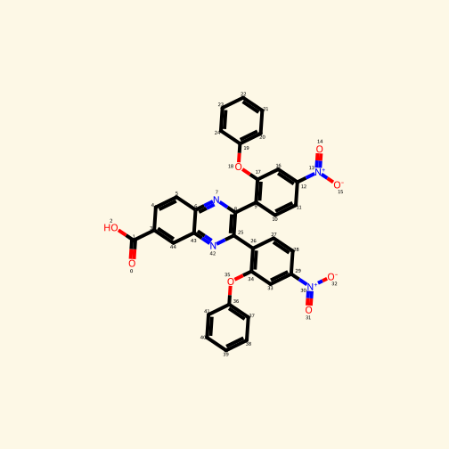 O=C(O)c1ccc2nc(-c3ccc([N+](=O)[O-])cc3Oc3ccccc3)c(-c3ccc([N+](=O)[O-])cc3Oc3ccccc3)nc2c1